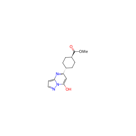 COC(=O)[C@H]1CC[C@H](c2cc(O)n3nccc3n2)CC1